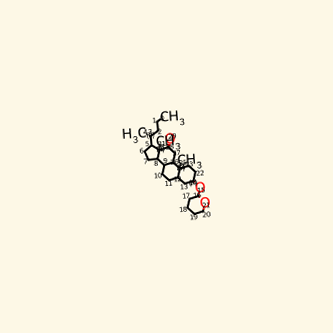 CCC[C@@H](C)C1CCC2C3CCC4C[C@H](OC5CCCCO5)CC[C@]4(C)C3CC(=O)[C@@]21C